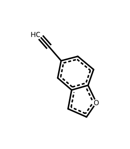 C#Cc1ccc2occc2c1